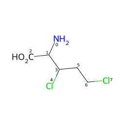 NC(C(=O)O)C(Cl)CCCl